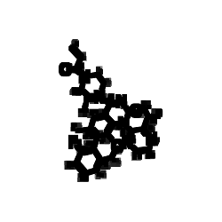 C=CC(=O)N1CCN(c2nc(=O)n(-c3nccnc3C(C)C)c3c4c(c(C)cc23)-c2c(F)cccc2CO4)[C@@H](C)C1